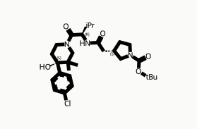 CC(C)[C@@H](NC(=O)C[C@@H]1CCN(C(=O)OC(C)(C)C)C1)C(=O)N1CC[C@](O)(c2ccc(Cl)cc2)C(C)(C)C1